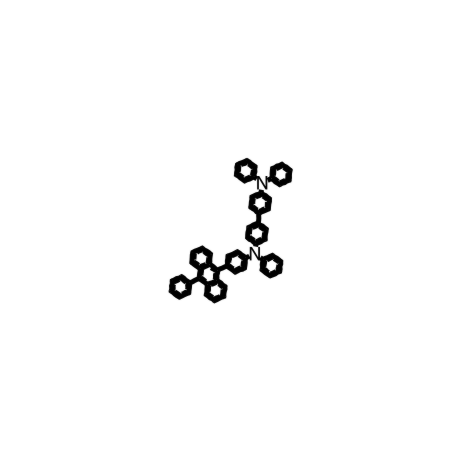 c1ccc(-c2c3ccccc3c(-c3ccc(N(c4ccccc4)c4ccc(-c5ccc(N(c6ccccc6)c6ccccc6)cc5)cc4)cc3)c3ccccc23)cc1